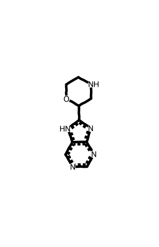 c1ncc2[nH]c(C3CNCCO3)nc2n1